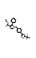 CCOC(=O)c1ncn(Cc2ccc(-c3noc(C(F)(F)F)n3)cc2)c1-c1ccccc1